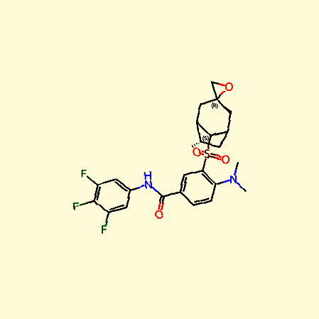 C[C@H]1CC2C[C@]3(CO3)CC1C2S(=O)(=O)c1cc(C(=O)Nc2cc(F)c(F)c(F)c2)ccc1N(C)C